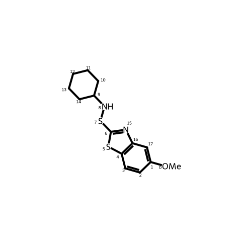 COc1ccc2sc(SNC3CCCCC3)nc2c1